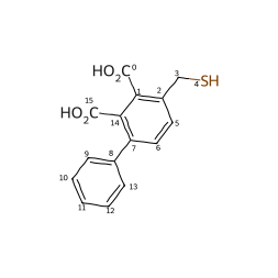 O=C(O)c1c(CS)ccc(-c2ccccc2)c1C(=O)O